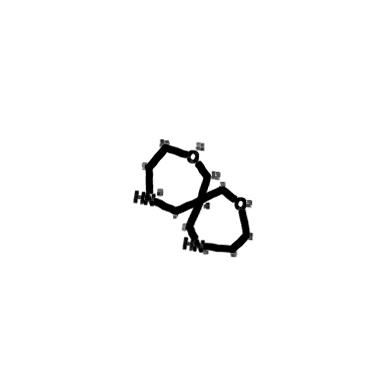 C1COCC2(CN1)CNCCOC2